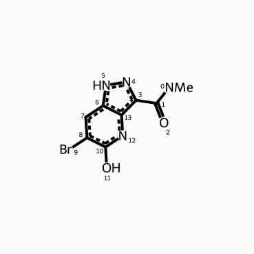 CNC(=O)c1n[nH]c2cc(Br)c(O)nc12